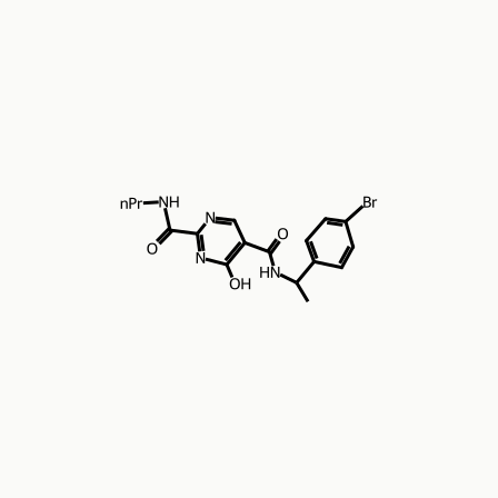 CCCNC(=O)c1ncc(C(=O)NC(C)c2ccc(Br)cc2)c(O)n1